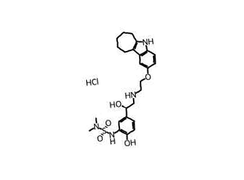 CN(C)S(=O)(=O)Nc1cc([C@@H](O)CNCCOc2ccc3[nH]c4c(c3c2)CCCCC4)ccc1O.Cl